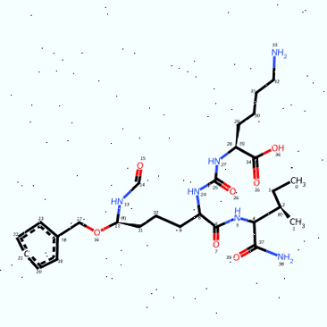 CC[C@@H](C)C(NC(=O)C(CCC[C@H](NC=O)OCc1ccccc1)NC(=O)N[C@@H](CCCCN)C(=O)O)C(N)=O